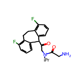 CC(C)N(CC(=O)C1c2cccc(F)c2CCc2c(F)cccc21)C(=O)CN